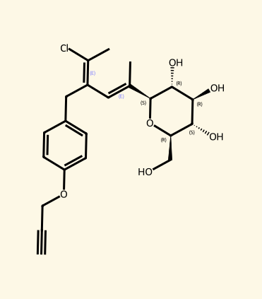 C#CCOc1ccc(CC(/C=C(\C)[C@@H]2O[C@H](CO)[C@@H](O)[C@H](O)[C@H]2O)=C(/C)Cl)cc1